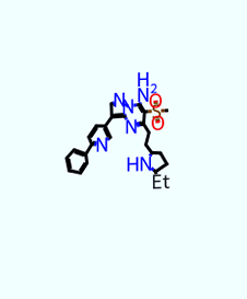 CCC1CCC(CCc2nc3c(-c4ccc(-c5ccccc5)nc4)cnn3c(N)c2S(C)(=O)=O)N1